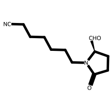 N#CCCCCCCN1C(=O)CC[C@@H]1C=O